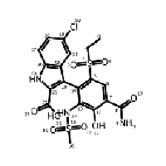 CCS(=O)(=O)c1cc(C(N)=O)c(O)c(NS(C)(=O)=O)c1-c1c(C(=O)O)[nH]c2ccc(Cl)cc12